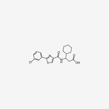 O=C(O)CC(NC(=O)c1csc(-c2cccc(Cl)c2)n1)C1CCCCC1